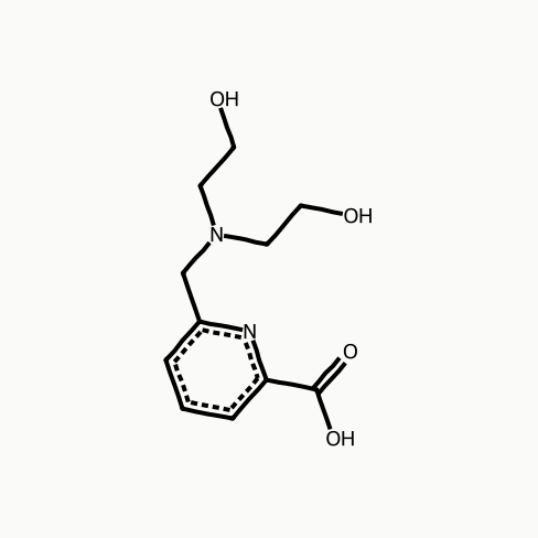 O=C(O)c1cccc(CN(CCO)CCO)n1